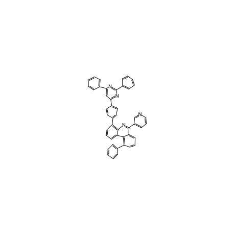 c1ccc(-c2cc(-c3ccc(-c4cccc5c4nc(-c4cccnc4)c4cccc(-c6ccccc6)c45)cc3)nc(-c3ccccc3)n2)cc1